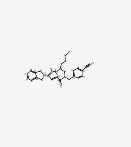 CCCCC1CN(Cc2ccc(C#N)cc2)C(=O)c2cc(N3Cc4ccccc4C3)nn21